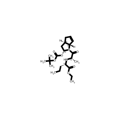 CCC[C@H](N[C@@H](C)C(=O)N1[C@H](OC(=O)OC(C)(C)C)C[C@H]2CC=C[C@@H]21)C(=O)OCC